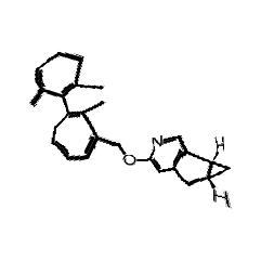 CC1=CCCC(C)=C1C1=C(C)C(COc2cc3c(cn2)[C@@H]2C[C@@H]2C3)=CC=CC1